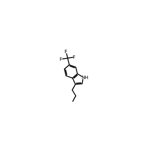 CCCc1c[nH]c2cc(C(F)(F)F)ccc12